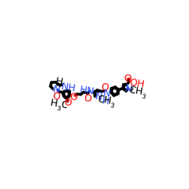 COc1cc2c(cc1OCCCC(=O)Nc1cc(C(=O)Nc3ccc(-c4cc(C(=O)O)n(C)c4)cc3)n(C)c1)NC[C@@H]1CCCCN1C2=O